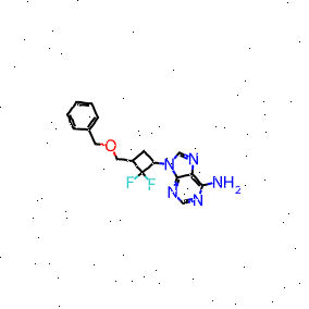 Nc1ncnc2c1ncn2C1CC(COCc2ccccc2)C1(F)F